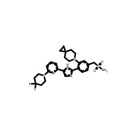 NS(=O)(=O)Cc1ccc(-c2ncc(-c3cccc(N4CCC(F)(F)CC4)n3)[nH]2)c(N2CCC3(CC2)CC3)c1